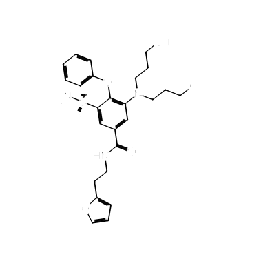 CCCCN(CCCC)c1cc(C(=O)NCCc2ccco2)cc(S(N)(=O)=O)c1Oc1ccccc1